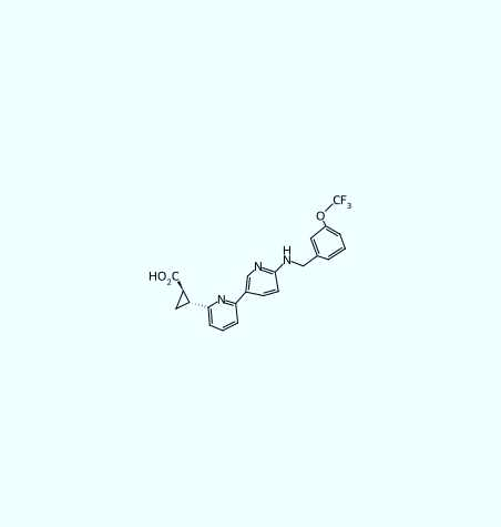 O=C(O)[C@@H]1C[C@H]1c1cccc(-c2ccc(NCc3cccc(OC(F)(F)F)c3)nc2)n1